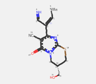 CN/C=C(\C=N)c1nc2n(c(=O)c1C#N)C[C@@H](CO)CS2